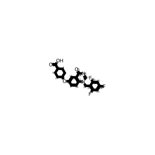 O=C(O)C1CCC(Oc2ccc3c(c2)c(=O)ncn3Cc2c(F)cc(F)cc2F)CC1